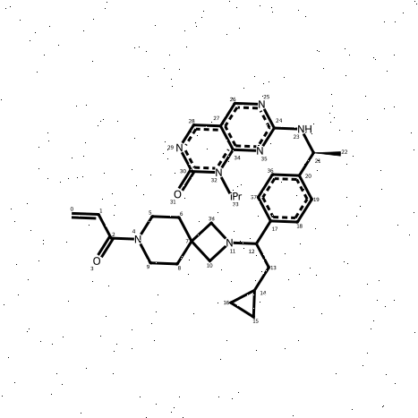 C=CC(=O)N1CCC2(CC1)CN(C(CC1CC1)c1ccc([C@H](C)Nc3ncc4cnc(=O)n(C(C)C)c4n3)cc1)C2